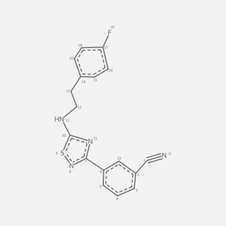 N#Cc1cccc(-c2nsc(NCCc3ccc(F)cc3)n2)c1